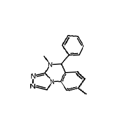 Cc1ccc2c(c1)-n1cnnc1N(C)C2c1ccccc1